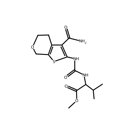 COC(=O)C(NC(=O)Nc1sc2c(c1C(N)=O)CCOC2)C(C)C